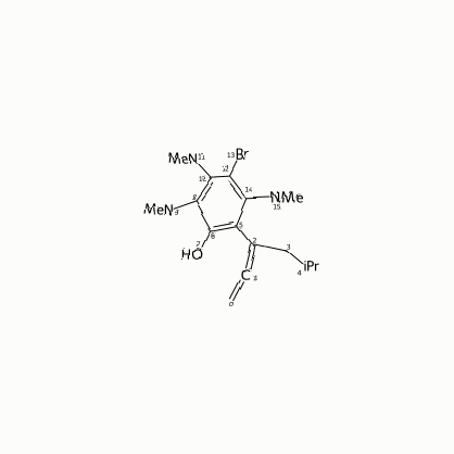 C=C=C(CC(C)C)c1c(O)c(NC)c(NC)c(Br)c1NC